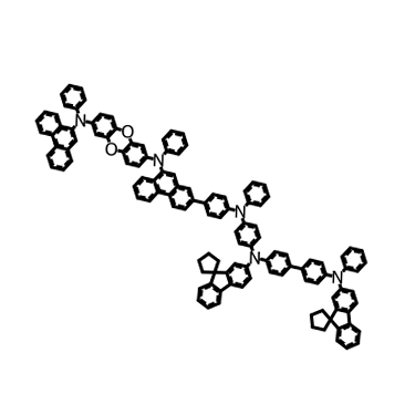 c1ccc(N(c2ccc(-c3ccc4c(c3)cc(N(c3ccccc3)c3ccc5c(c3)Oc3ccc(N(c6ccccc6)c6cc7ccccc7c7ccccc67)cc3O5)c3ccccc34)cc2)c2ccc(N(c3ccc(-c4ccc(N(c5ccccc5)c5ccc6c(c5)C5(CCCC5)c5ccccc5-6)cc4)cc3)c3ccc4c(c3)C3(CCCC3)c3ccccc3-4)cc2)cc1